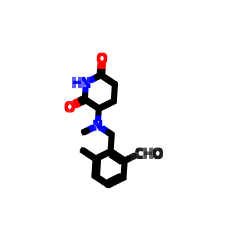 Cc1cccc(C=O)c1CN(C)C1CCC(=O)NC1=O